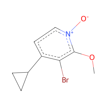 COc1c(Br)c(C2CC2)cc[n+]1[O-]